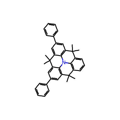 CC1(C)c2cccc3c2N2c4c1cc(-c1ccccc1)cc4C(C)(C)c1cc(-c4ccccc4)cc(c12)C3(C)C